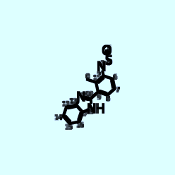 Cc1c(N=S=O)cccc1-c1nc2ccccc2[nH]1